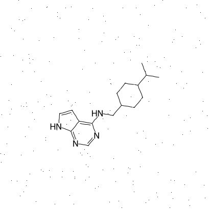 CC(C)C1CCC(CNc2ncnc3[nH]ccc23)CC1